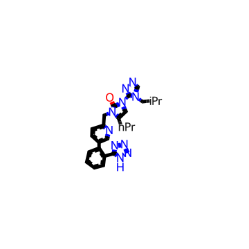 CCCc1cn(-c2nncn2CC(C)C)c(=O)n1Cc1ccc(-c2ccccc2-c2nnn[nH]2)cn1